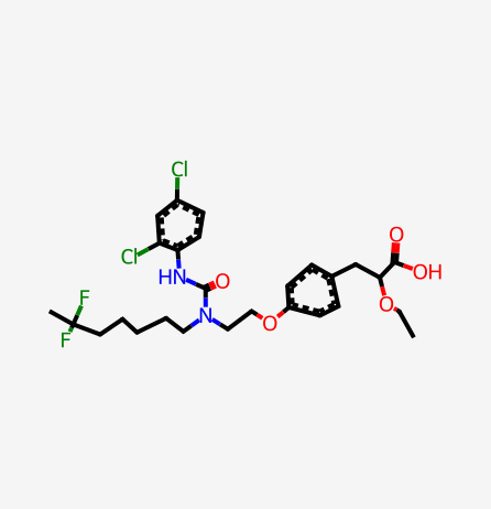 CCOC(Cc1ccc(OCCN(CCCCCC(C)(F)F)C(=O)Nc2ccc(Cl)cc2Cl)cc1)C(=O)O